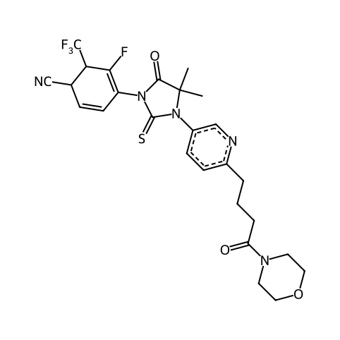 CC1(C)C(=O)N(C2=C(F)C(C(F)(F)F)C(C#N)C=C2)C(=S)N1c1ccc(CCCC(=O)N2CCOCC2)nc1